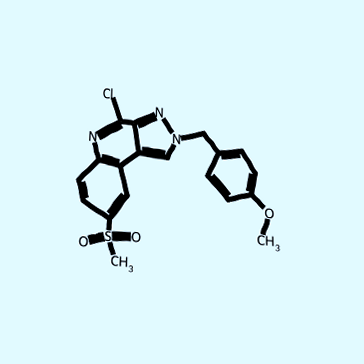 COc1ccc(Cn2cc3c(n2)c(Cl)nc2ccc(S(C)(=O)=O)cc23)cc1